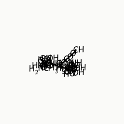 C#CCOCCOCCOCCOCCC(=O)N(CCCCCNC(=O)CO[C@@H]([C@@H]1OC(C(=O)O)=C[C@H](NC(=N)N)[C@H]1NC(C)=O)[C@H](O)CO)CCCCCNC(=O)CO[C@@H]([C@@H]1OC(C(=O)O)=C[C@H](NC(=N)N)[C@H]1NC(C)=O)[C@H](O)CO